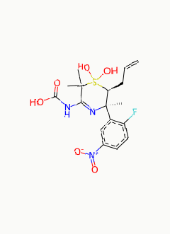 C=CC[C@H]1[C@@](C)(c2cc([N+](=O)[O-])ccc2F)N=C(NC(=O)O)C(C)(C)S1(O)O